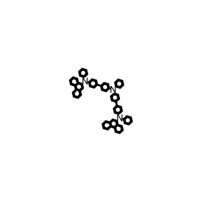 c1ccc(N(c2ccc(-c3ccc(N(c4ccccc4)c4cc5ccccc5c5ccccc45)cc3)cc2)c2ccc(-c3ccc(N(c4ccccc4)c4cc5ccccc5c5ccccc45)cc3)cc2)cc1